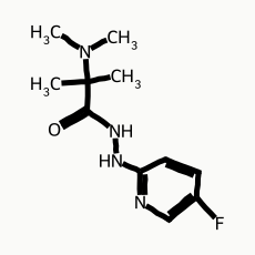 CN(C)C(C)(C)C(=O)NNc1ccc(F)cn1